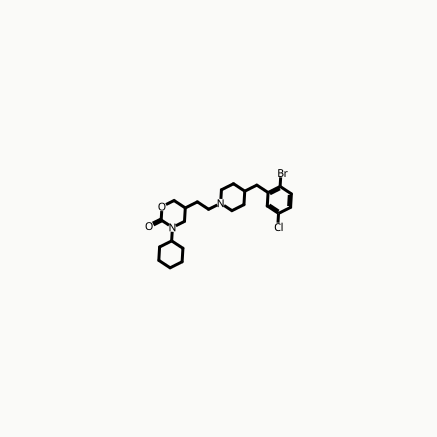 O=C1OCC(CCN2CCC(Cc3cc(Cl)ccc3Br)CC2)CN1C1CCCCC1